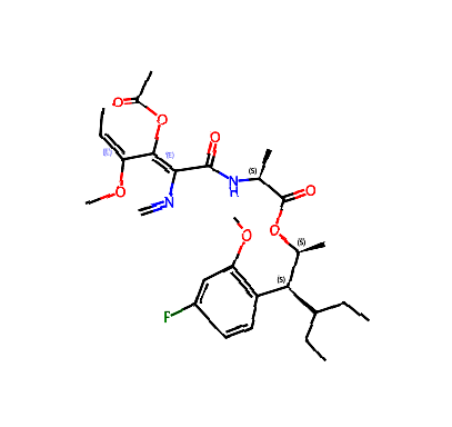 C=N/C(C(=O)N[C@@H](C)C(=O)O[C@@H](C)[C@H](c1ccc(F)cc1OC)C(CC)CC)=C(OC(C)=O)\C(=C/C)OC